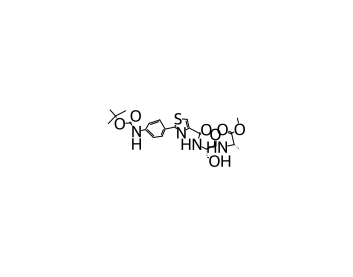 COC(=O)[C@H](C)NC(=O)[C@H](CO)NC(=O)c1csc(-c2ccc(NC(=O)OC(C)(C)C)cc2)n1